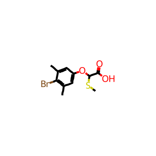 CSC(Oc1cc(C)c(Br)c(C)c1)C(=O)O